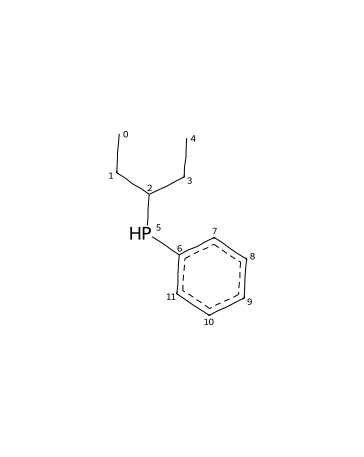 CCC(CC)Pc1ccccc1